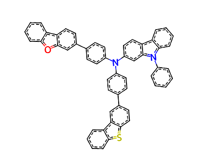 c1ccc(-n2c3ccccc3c3ccc(N(c4ccc(-c5ccc6c(c5)oc5ccccc56)cc4)c4ccc(-c5ccc6sc7ccccc7c6c5)cc4)cc32)cc1